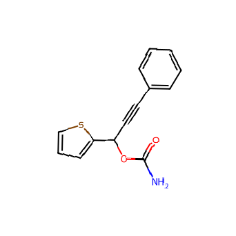 NC(=O)OC(C#Cc1ccccc1)c1cccs1